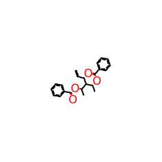 C=CCC(C(C)OC(=O)c1ccccc1)C(C)OC(=O)c1ccccc1